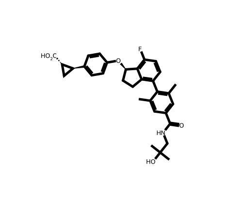 Cc1cc(C(=O)NCC(C)(C)O)cc(C)c1-c1ccc(F)c2c1CC[C@H]2Oc1ccc([C@H]2C[C@@H]2C(=O)O)cc1